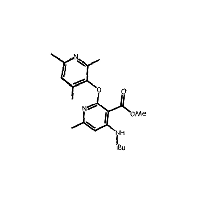 CCC(C)Nc1cc(C)nc(Oc2c(C)cc(C)nc2C)c1C(=O)OC